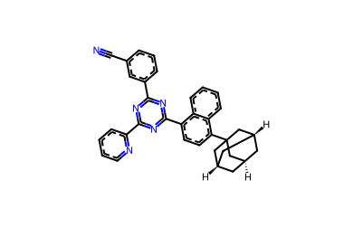 N#Cc1cccc(-c2nc(-c3ccccn3)nc(-c3ccc(C45C[C@H]6C[C@@H](C4)C[C@@H](C5)C6)c4ccccc34)n2)c1